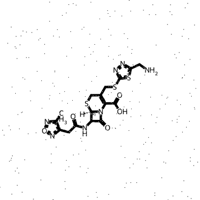 Cc1nonc1CC(=O)NC1C(=O)N2C(C(=O)O)=C(CSc3nnc(CN)s3)CS[C@H]12